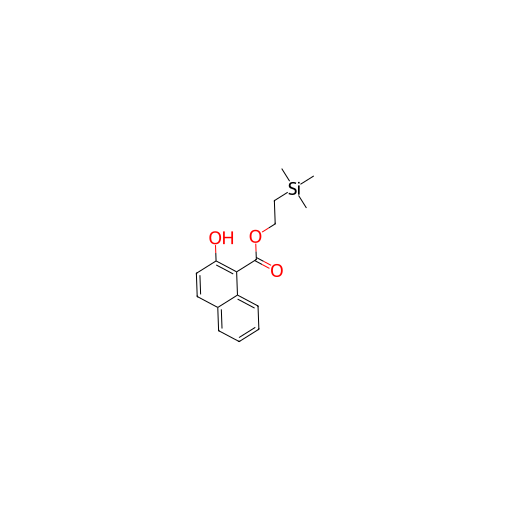 C[Si](C)(C)CCOC(=O)c1c(O)ccc2ccccc12